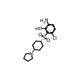 Nc1ccc(Cl)c(S(=O)(=O)[C@H]2CC[C@H](N3CCCC3)CC2)c1O